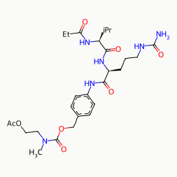 CCC(=O)N[C@H](C(=O)N[C@@H](CCCNC(N)=O)C(=O)Nc1ccc(COC(=O)N(C)CCOC(C)=O)cc1)C(C)C